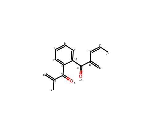 C=C(C)C(=O)c1ccccc1C(=O)C(=C)/C=C\C